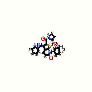 COC[C@H]1CCCN1C(=O)c1sc2c(ccc(=O)n2-c2ccccc2)c1Nc1ccccc1